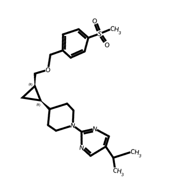 CC(C)c1cnc(N2CCC([C@H]3C[C@H]3COCc3ccc(S(C)(=O)=O)cc3)CC2)nc1